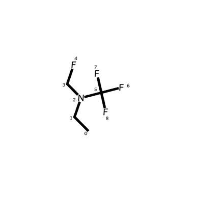 CCN(CF)C(F)(F)F